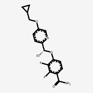 CC[C@@H](Oc1ccc(C(N)=O)c(F)c1F)c1ccc(OCC2CC2)cn1